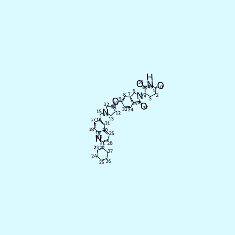 O=C1CCC(N2Cc3cc(O[C@H]4CCN(Cc5ccc6nc(C7CCCCC7)ccc6c5)C4)ccc3C2=O)C(=O)N1